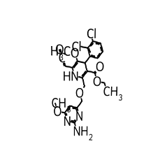 CCOC(=O)C1=C(COCc2cc(OC)nc(N)n2)NC(C=C=O)=C(OC)C1c1cccc(Cl)c1Cl